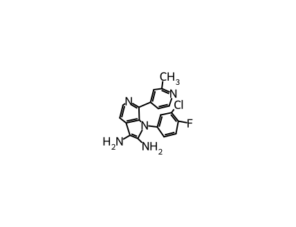 Cc1cc(-c2nccc3c(N)c(N)n(-c4ccc(F)c(Cl)c4)c23)ccn1